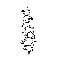 Brc1ccsc1Cc1cc2cc3sc(Cc4sccc4Br)cc3cc2s1